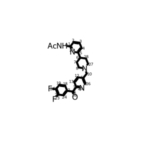 CC(=O)Nc1cccc(C2CCN(Cc3ccc(C(=O)c4ccc(F)c(F)c4)nc3)CC2)n1